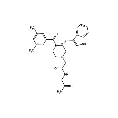 NC(=O)CNC(=O)CN1CCN(C(=O)c2cc(C(F)(F)F)cc(C(F)(F)F)c2)[C@H](Cc2c[nH]c3ccccc23)C1